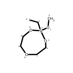 CO[Si]1(CI)OCCOCCO1